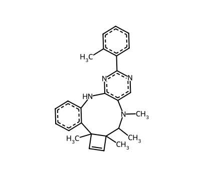 Cc1ccccc1-c1ncc2c(n1)Nc1ccccc1C1(C)C=CC1(C)C(C)N2C